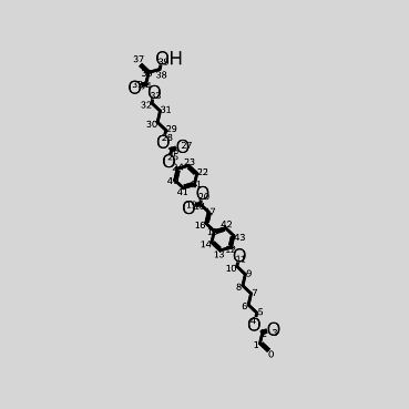 C=CC(=O)OCCCCCCOc1ccc(/C=C/C(=O)Oc2ccc(OC(=O)OCCCCOC(=O)C(=C)CO)cc2)cc1